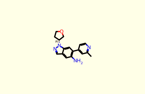 Cc1cc(-c2cc3c(cnn3[C@@H]3CCOC3)cc2N)ccn1